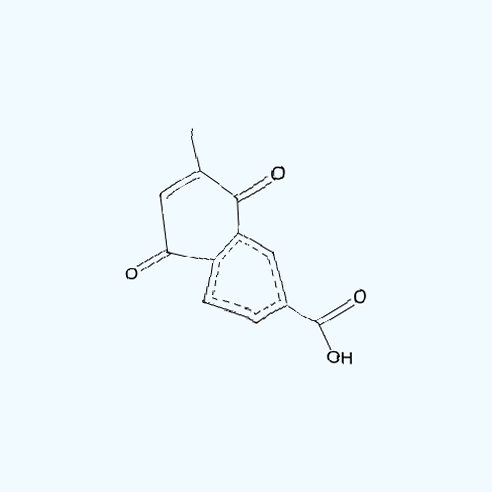 CC1=CC(=O)c2ccc(C(=O)O)cc2C1=O